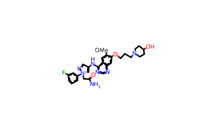 COc1cc2c(NC3=C[N+](CC(N)=O)(c4cccc(F)c4)N=C3)ncnc2cc1OCCCN1CCC(O)CC1